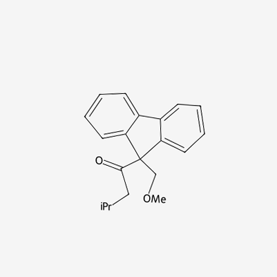 COCC1(C(=O)CC(C)C)c2ccccc2-c2ccccc21